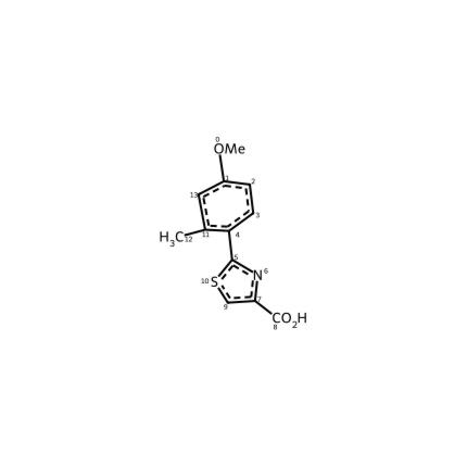 COc1ccc(-c2nc(C(=O)O)cs2)c(C)c1